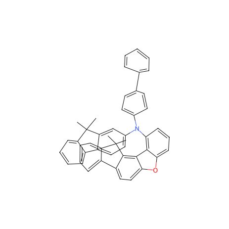 CC1(C)c2ccccc2-c2ccc(N(c3ccc(-c4ccccc4)cc3)c3cccc4oc5ccc6c(c5c34)C(C)(C)c3ccccc3-6)cc21